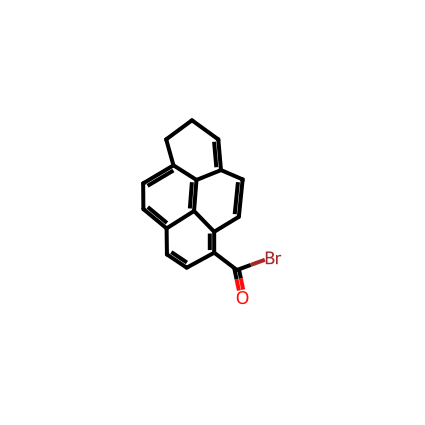 O=C(Br)c1ccc2ccc3c4c(ccc1c24)=CCC3